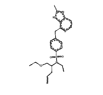 C=CCC(COCC)N(CC)S(=O)(=O)c1ccc(Cc2nccc3nc(C)[nH]c23)cc1